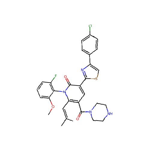 COc1cccc(F)c1-n1c(C=C(C)C)c(C(=O)N2CCNCC2)cc(-c2nc(-c3ccc(Cl)cc3)cs2)c1=O